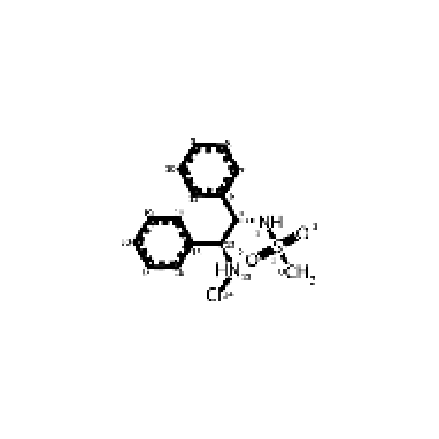 CS(=O)(=O)N[C@@H](c1ccccc1)[C@@H](NCl)c1ccccc1